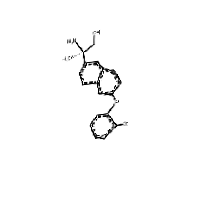 CCc1ccccc1Oc1ccc2cc([C@@](C)(N)CO)ccc2c1